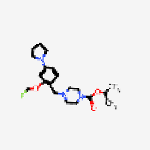 O=C(OC(C(F)(F)F)C(F)(F)F)N1CCN(Cc2ccc(N3CCCC3)cc2OCF)CC1